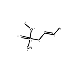 CC=CCP(=O)(O)OC